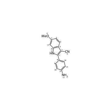 COc1ccc2c(C#N)c(-c3ccc(N)cc3)[nH]c2c1